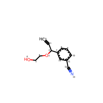 C#CC(OCCO)c1cccc(C#N)c1